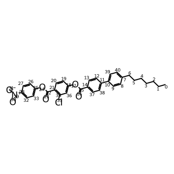 CCCCCCCc1ccc(-c2ccc(C(=O)Oc3ccc(C(=O)Oc4ccc([N+](=O)[O-])cc4)c(Cl)c3)cc2)cc1